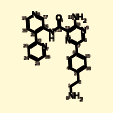 NCCc1ccc(-c2cnc(N)c(C(=O)Nc3cnccc3-c3ccccn3)n2)cc1